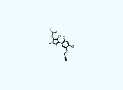 C#CCOc1cc(-c2nn(C)c(OC(F)F)c2Cl)c(Cl)cc1Cl